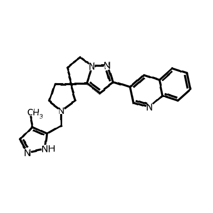 Cc1cn[nH]c1CN1CCC2(CCn3nc(-c4cnc5ccccc5c4)cc32)C1